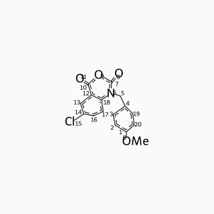 COc1ccc(Cn2c(=O)oc(=O)c3cc(Cl)ccc32)cc1